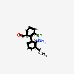 CCc1cccc(-c2c(Cl)cccc2C=O)c1N